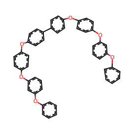 c1ccc(Oc2cccc(Oc3ccc(Oc4ccc(-c5ccc(Oc6ccc(Oc7cccc(Oc8ccccc8)c7)cc6)cc5)cc4)cc3)c2)cc1